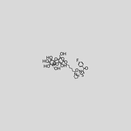 O=C(c1ccc(F)cc1)c1csc([C@@H]2CCCN2C(=O)CCCCCO[C@@H]2O[C@H](CO)[C@@H](O[C@@H]3O[C@H](CO)[C@H](O)[C@H](O)[C@H]3O)[C@H](O)[C@H]2O)n1